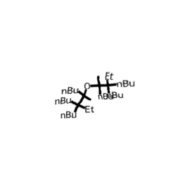 CCCCC(CC)(CCCC)C(C)(CCCC)OC(C)(CCCC)C(CC)(CCCC)CCCC